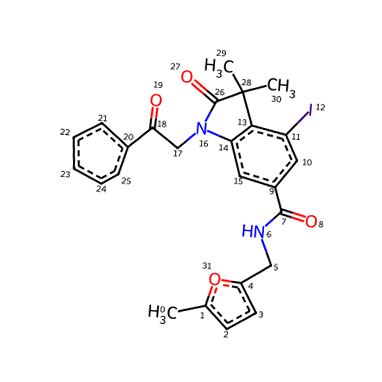 Cc1ccc(CNC(=O)c2cc(I)c3c(c2)N(CC(=O)c2ccccc2)C(=O)C3(C)C)o1